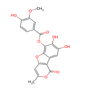 COc1cc(C(=O)Oc2c(O)c(O)cc3c2oc2cc(C)oc(=O)c23)ccc1O